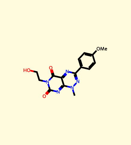 COc1ccc(-c2nc3c(=O)n(CCO)c(=O)nc-3n(C)n2)cc1